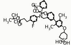 Cc1cc(OC2CCS(O)(O)CC2)cc(C)c1-c1cccc(CN(c2ccc(CCC(=O)OC(C)(C)C)c(F)c2)S(=O)(=O)c2ccccc2[N+](=O)[O-])c1